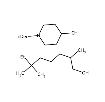 CCC(C)(C)CCCC(C)CO.CCCCCCCCCCN1CCC(C)CC1